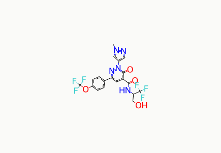 Cn1cc(-n2nc(-c3ccc(OC(F)(F)F)cc3)cc(C(=O)NC(CO)C(F)(F)F)c2=O)cn1